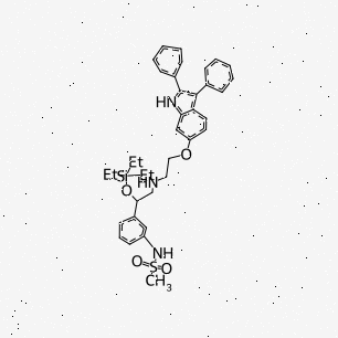 CC[Si](CC)(CC)OC(CNCCOc1ccc2c(-c3ccccc3)c(-c3ccccc3)[nH]c2c1)c1cccc(NS(C)(=O)=O)c1